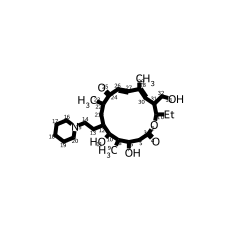 CCC1OC(=O)CC(O)C(C)C(O)C(CCN2CCCCC2)CC(C)C(=O)/C=C/C(C)=C/C1CO